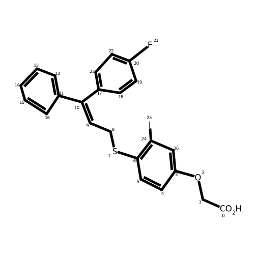 O=C(O)COc1ccc(SC/C=C(/c2ccccc2)c2ccc(F)cc2)c(I)c1